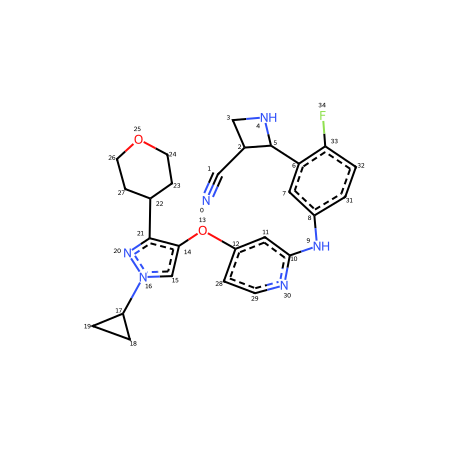 N#CC1CNC1c1cc(Nc2cc(Oc3cn(C4CC4)nc3C3CCOCC3)ccn2)ccc1F